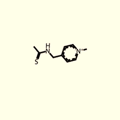 CC(=S)NCc1cc[n+](C)cc1